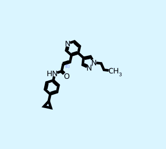 CCCn1cc(-c2ccncc2/C=C/C(=O)Nc2ccc(C3CC3)cc2)cn1